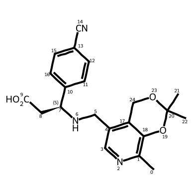 Cc1ncc(CN[C@@H](CC(=O)O)c2ccc(C#N)cc2)c2c1OC(C)(C)OC2